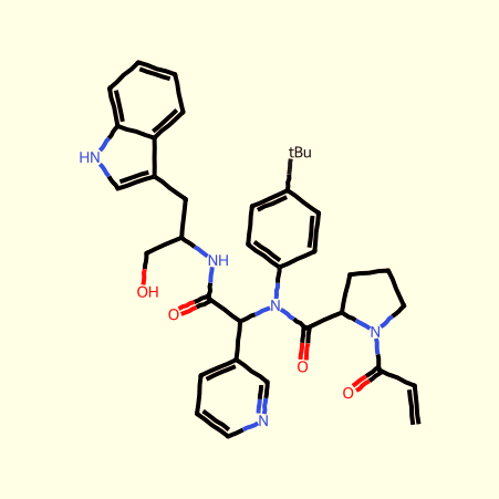 C=CC(=O)N1CCCC1C(=O)N(c1ccc(C(C)(C)C)cc1)C(C(=O)NC(CO)Cc1c[nH]c2ccccc12)c1cccnc1